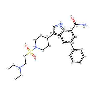 CCN(CC)CCS(=O)(=O)N1CCC(c2c[nH]c3c(C(N)=O)cc(-c4ccccc4)cc23)CC1